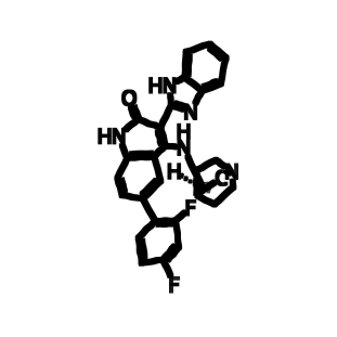 O=c1[nH]c2ccc(-c3ccc(F)cc3F)cc2c(N[C@H]2CN3CCC2CC3)c1-c1nc2ccccc2[nH]1